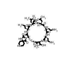 CC(C)C[C@@H]1NC[C@](C=O)(CC(C)C)NC(=O)[C@H](CCN)NC(=O)[C@@H](N2C(=O)NC3(CCNCC3)C2=O)CCNC(=O)[C@H]([C@@H](C)O)NC(=O)[C@H](CCN)NC(=O)[C@H](CCN)NC1=O